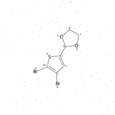 Brc1cc(C2OCCO2)sc1Br